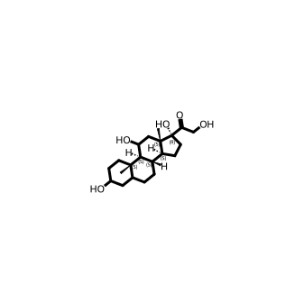 C[C@]12CCC(O)CC1CC[C@@H]1[C@@H]2C(O)C[C@@]2(C)[C@H]1CC[C@]2(O)C(=O)CO